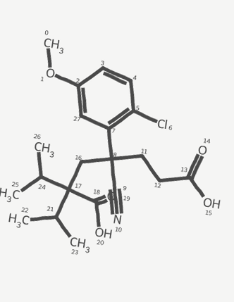 COc1ccc(Cl)c(C(C#N)(CCC(=O)O)CC(C(=O)O)(C(C)C)C(C)C)c1